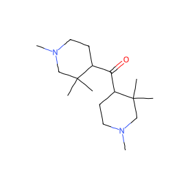 CN1CCC(C(=O)C2CCN(C)CC2(C)C)C(C)(C)C1